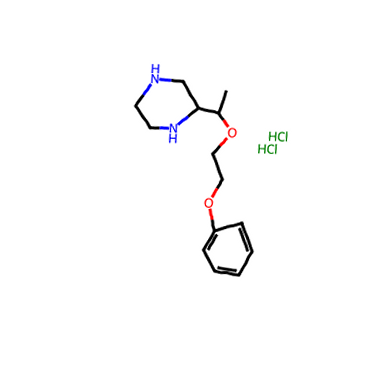 CC(OCCOc1ccccc1)C1CNCCN1.Cl.Cl